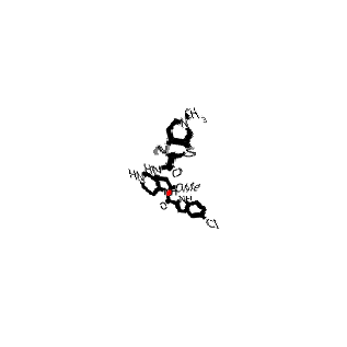 COC(=O)CC1(NC(=O)c2nc3c(s2)CN(C)CC3)CNCCC1NC(=O)c1cc2cc(Cl)ccc2[nH]1